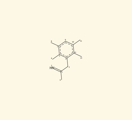 CC(=N)Cc1c(C)c(C)cc(C)c1C